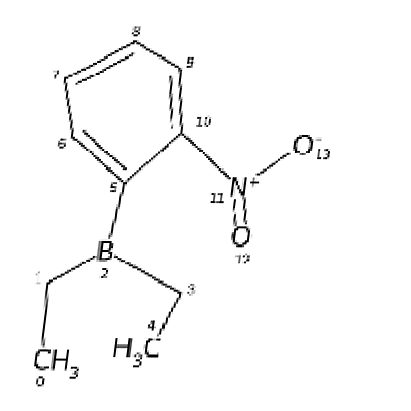 CCB(CC)c1ccccc1[N+](=O)[O-]